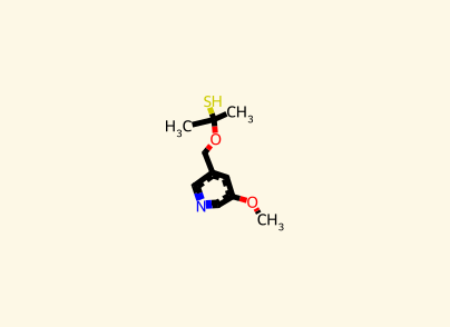 COc1cncc(COC(C)(C)S)c1